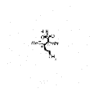 C=CC[C@@H](OC)[C@H](CCC)S(N)(=O)=O